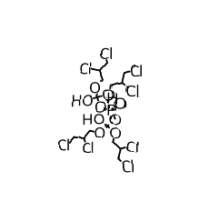 O=[PH](OC(O)(OCC(Cl)CCl)OCC(Cl)CCl)OC(O)(OCC(Cl)CCl)OCC(Cl)CCl